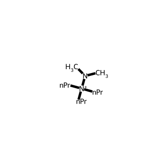 CCC[N+](CCC)(CCC)N(C)C